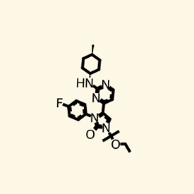 CCOC(C)(C)n1cc(-c2ccnc(N[C@H]3CC[C@H](C)CC3)n2)n(-c2ccc(F)cc2)c1=O